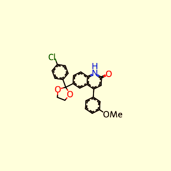 COc1cccc(-c2cc(=O)[nH]c3ccc(C4(c5ccc(Cl)cc5)OCCO4)cc23)c1